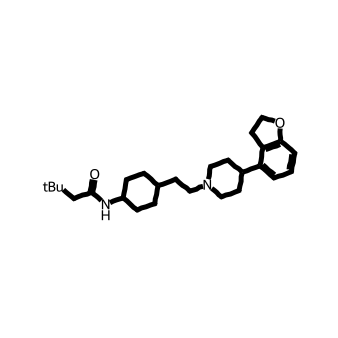 CC(C)(C)CC(=O)NC1CCC(CCN2CCC(c3cccc4c3CCO4)CC2)CC1